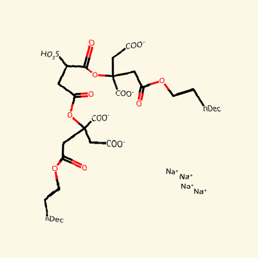 CCCCCCCCCCCCOC(=O)CC(CC(=O)[O-])(OC(=O)CC(C(=O)OC(CC(=O)[O-])(CC(=O)OCCCCCCCCCCCC)C(=O)[O-])S(=O)(=O)O)C(=O)[O-].[Na+].[Na+].[Na+].[Na+]